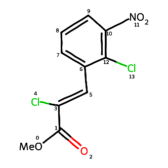 COC(=O)/C(Cl)=C/c1cccc([N+](=O)[O-])c1Cl